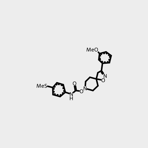 COc1cccc(C2=NOC3(CCN(OC(=O)Nc4ccc(SC)cc4)CC3)C2)c1